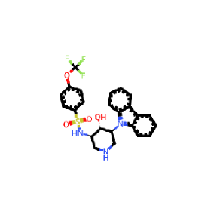 O=S(=O)(N[C@@H]1CNC[C@H](n2c3ccccc3c3ccccc32)[C@H]1O)c1ccc(OC(F)(F)F)cc1